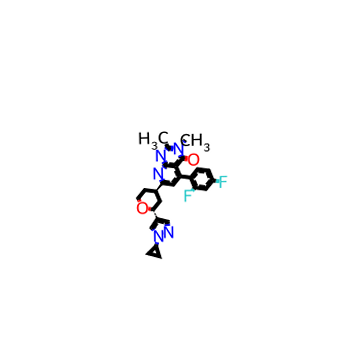 Cc1nc2nc([C@@H]3CCO[C@@H](c4cnn(C5CC5)c4)C3)cc(-c3ccc(F)cc3F)c2c(=O)n1C